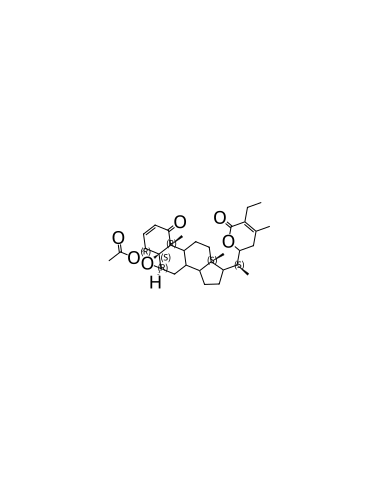 CCC1=C(C)CC([C@@H](C)C2CCC3C4C[C@H]5O[C@]56[C@H](OC(C)=O)C=CC(=O)[C@]6(C)C4CC[C@@]32C)OC1=O